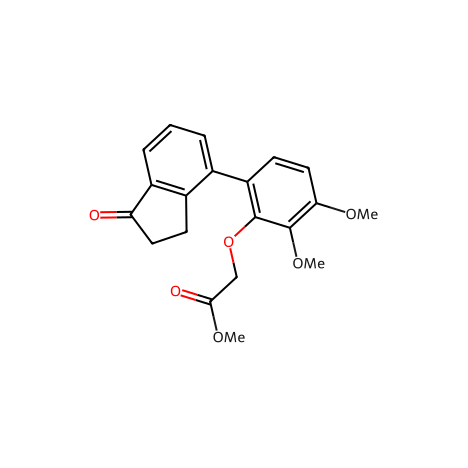 COC(=O)COc1c(-c2cccc3c2CCC3=O)ccc(OC)c1OC